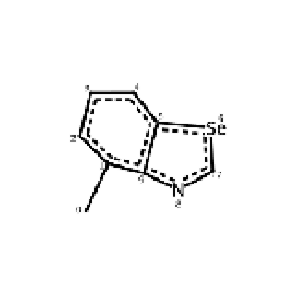 Cc1cccc2[se][c]nc12